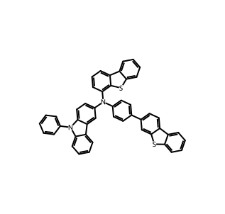 c1ccc(-n2c3ccccc3c3cc(N(c4ccc(-c5ccc6c(c5)sc5ccccc56)cc4)c4cccc5c4sc4ccccc45)ccc32)cc1